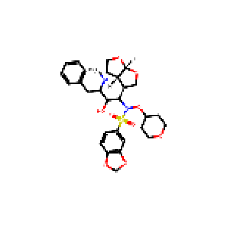 O=C(O)NC(Cc1ccccc1)C(O)C([C@@H]1CO[C@H]2OCC[C@H]21)N(OC1CCOCC1)S(=O)(=O)c1ccc2c(c1)OCO2